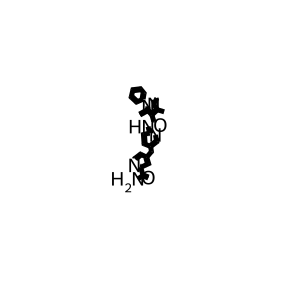 C=C1C(C(=O)Nc2ccc(Cc3ccnc(C(N)=O)c3)cn2)=C(C)N(C)N1c1ccccc1